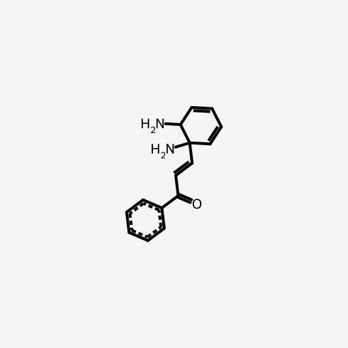 NC1C=CC=CC1(N)C=CC(=O)c1ccccc1